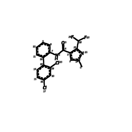 Cn1cc(C(=O)Nc2ccccc2-c2ccc(Cl)cc2Cl)c(C(F)F)n1